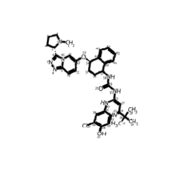 CN1CCC[C@H]1c1nnc2ccc(O[C@@H]3CCC(NC(=O)N/C(=C/C(=N)C(C)(C)C)Nc4ccc(O)c(Cl)c4)c4ccccc43)cn12